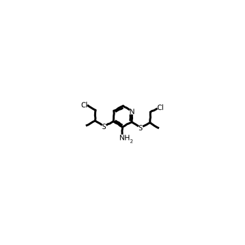 CC(CCl)Sc1ccnc(SC(C)CCl)c1N